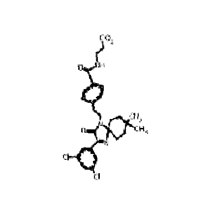 CC1(C)CCC2(CC1)N=C(c1cc(Cl)cc(Cl)c1)C(=O)N2CCc1ccc(C(=O)NCCC(=O)O)cc1